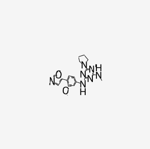 CNc1nc(Nc2ccc(-c3cnco3)c(OC)c2)nc(N2CCCC2)n1